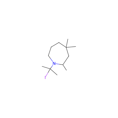 CC1CC(C)(C)CCCN1C(C)(C)I